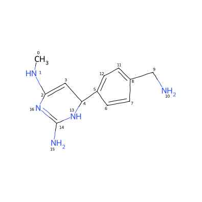 CNC1=CC(c2ccc(CN)cc2)NC(N)=N1